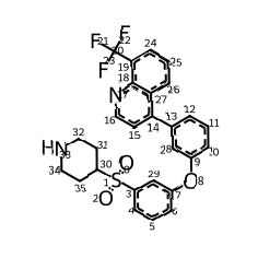 O=S(=O)(c1cccc(Oc2cccc(-c3ccnc4c(C(F)(F)F)cccc34)c2)c1)C1CCNCC1